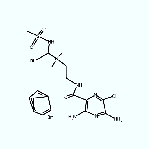 C1=CC2=CC=C1C2.CCCC(NS(C)(=O)=O)[N+](C)(C)CCNC(=O)c1nc(Cl)c(N)nc1N.[Br-]